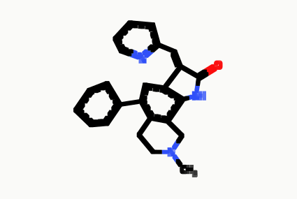 CN1CCc2c(-c3ccccc3)cc3c(c2C1)NC(=O)/C3=C/c1ccccn1